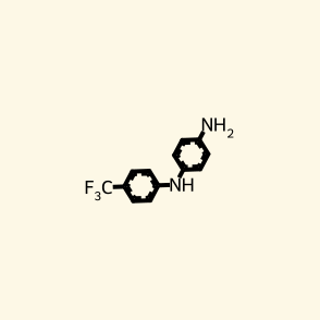 Nc1ccc(Nc2ccc(C(F)(F)F)cc2)cc1